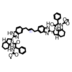 COC(=O)N[C@@H](C(=O)N1[C@H](c2nc3cc(C/C=C/Cc4ccc5[nH]c([C@@H]6C[C@@H]7CCCC[C@@H]7N6C(=O)[C@H](NC6OCO6)c6ccccc6)nc5c4)ccc3[nH]2)C[C@@H]2CCCC[C@@H]21)c1ccccc1